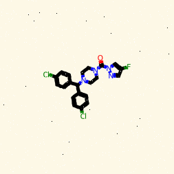 O=C(N1CCN(C(c2ccc(Cl)cc2)c2ccc(Cl)cc2)CC1)n1cc(F)cn1